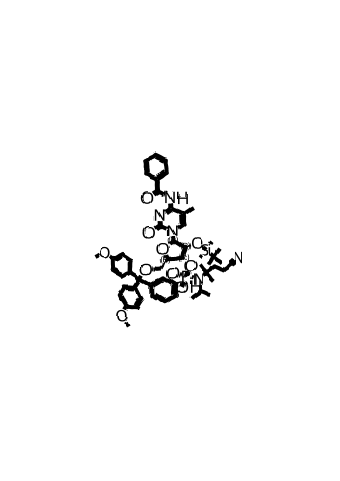 COc1ccc(C(OC[C@H]2O[C@@H](n3cc(C)c(NC(=O)c4ccccc4)nc3=O)[C@H](O[Si](C)(C)C(C)(C)C)[C@@H]2OP(=O)(O)N(C(C)C)C(C)(C)CCC#N)(c2ccccc2)c2ccc(OC)cc2)cc1